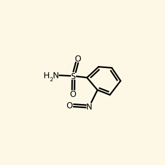 NS(=O)(=O)c1ccccc1N=O